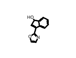 OC1C=C(c2ncco2)c2ccccc21